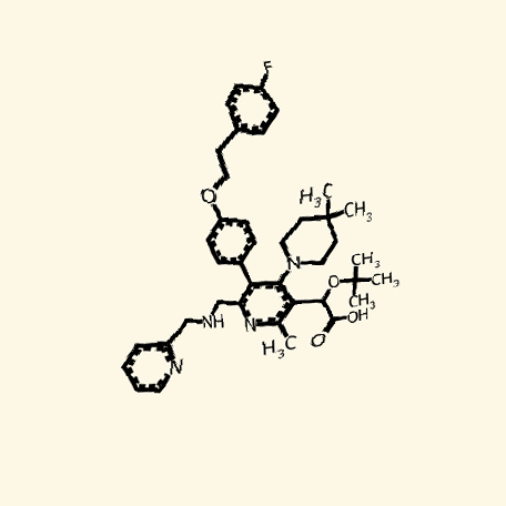 Cc1nc(CNCc2ccccn2)c(-c2ccc(OCCc3ccc(F)cc3)cc2)c(N2CCC(C)(C)CC2)c1C(OC(C)(C)C)C(=O)O